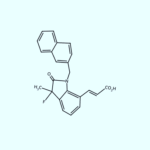 CC1(F)C(=O)N(Cc2ccc3ccccc3c2)c2c(C=CC(=O)O)cccc21